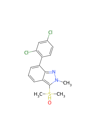 Cn1nc2c(-c3ccc(Cl)cc3Cl)cccc2c1[SH](C)(C)=O